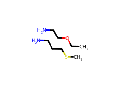 CCOCCN.CSCCCN